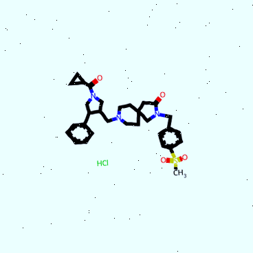 CS(=O)(=O)c1ccc(CN2CC3(CCN(CC4CN(C(=O)C5CC5)CC4c4ccccc4)CC3)CC2=O)cc1.Cl